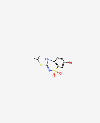 CC(C)SC1=NS(=O)(=O)c2cc(Br)ccc2N1